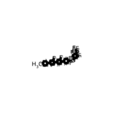 CC1CCC(c2ccc(-c3ccc(C4CCC(C(F)(F)Oc5cc(F)c(OC(F)(F)F)c(F)c5)CC4)c(F)c3)c(F)c2)CC1